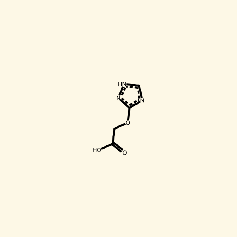 O=C(O)COc1nc[nH]n1